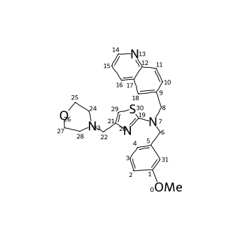 COc1cccc(CN(Cc2ccc3ncccc3c2)c2nc(CN3CCOCC3)cs2)c1